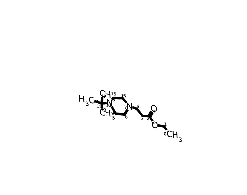 CCOC(=O)CCN1CCN(C(C)(C)C)CC1